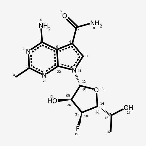 Cc1nc(N)c2c(C(N)=O)cn([C@@H]3O[C@H](C(C)O)[C@@H](F)[C@H]3O)c2n1